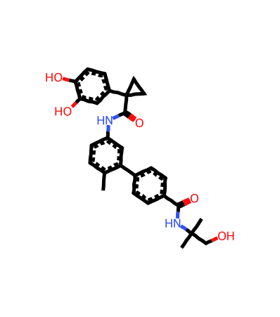 Cc1ccc(NC(=O)C2(c3ccc(O)c(O)c3)CC2)cc1-c1ccc(C(=O)NC(C)(C)CO)cc1